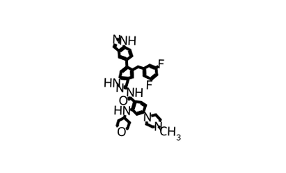 CN1CCN(c2ccc(C(=O)Nc3n[nH]c4cc(-c5ccc6[nH]ncc6c5)c(Cc5cc(F)cc(F)c5)cc34)c(NC3CCOCC3)c2)CC1